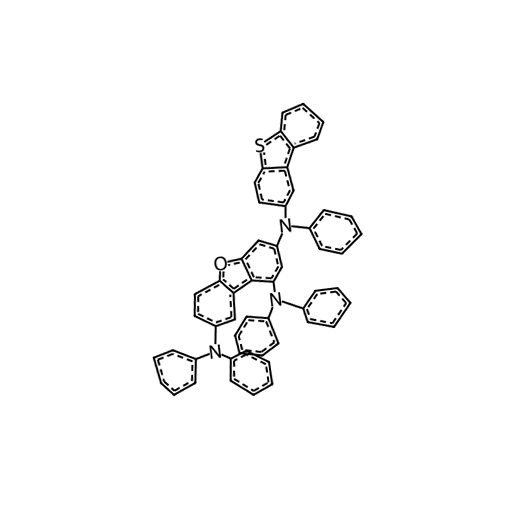 c1ccc(N(c2cc(N(c3ccccc3)c3ccccc3)c3c(c2)oc2ccc(N(c4ccccc4)c4ccccc4)cc23)c2ccc3sc4ccccc4c3c2)cc1